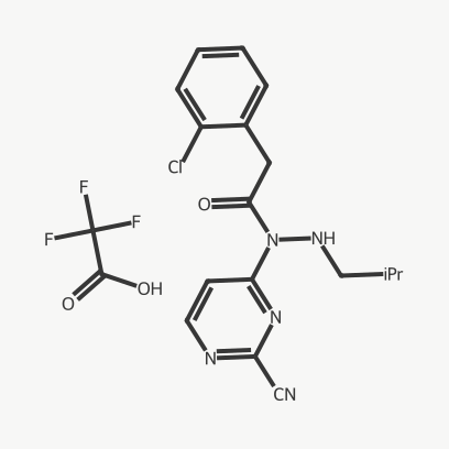 CC(C)CNN(C(=O)Cc1ccccc1Cl)c1ccnc(C#N)n1.O=C(O)C(F)(F)F